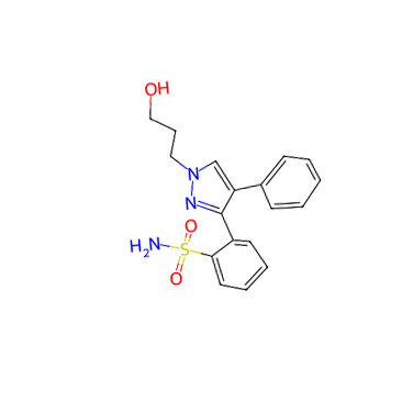 NS(=O)(=O)c1ccccc1-c1nn(CCCO)cc1-c1ccccc1